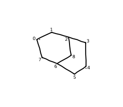 [CH]1CC2C[CH]CC(C1)C2